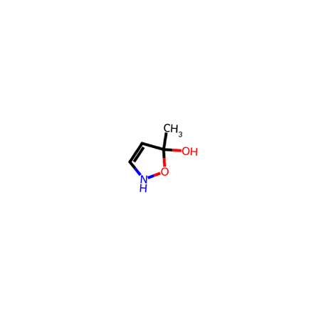 CC1(O)C=CNO1